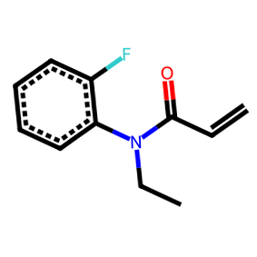 C=CC(=O)N(CC)c1ccccc1F